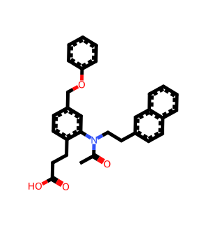 CC(=O)N(CCc1ccc2ccccc2c1)c1cc(COc2ccccc2)ccc1CCC(=O)O